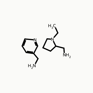 CCN1CCCC1CN.NCc1cccnc1